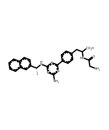 C[C@@H](Nc1nc(N)nc(-c2ccc(CC(NC(=O)CN)C(=O)O)cc2)n1)c1ccc2ccccc2c1